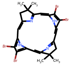 CC1(C)Cc2cc3[nH]c(cc4nc(cc5[nH]c(cc1n2)c(Br)c5Br)CC4(C)C)c(Br)c3Br